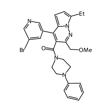 CCc1ccc2c(-c3cncc(Br)c3)c(C(=O)N3CCN(c4ccccc4)CC3)c(COC)nn12